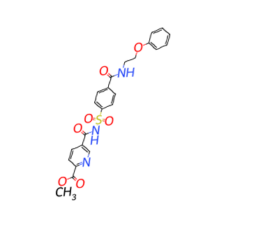 COC(=O)c1ccc(C(=O)NS(=O)(=O)c2ccc(C(=O)NCCOc3ccccc3)cc2)cn1